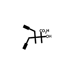 C#CCC(C)(CC#C)C(C)(O)C(=O)O